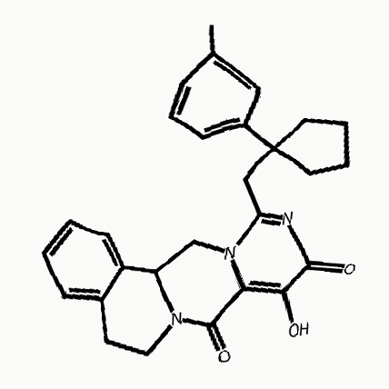 Cc1cccc(C2(Cc3nc(=O)c(O)c4n3CC3c5ccccc5CCN3C4=O)CCCC2)c1